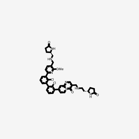 COc1nc(-c2cccc(-c3cccc(-c4ccn5c(=O)c(CNCC[C@@H]6CCC(=O)N6)cnc5c4)c3Cl)c2Cl)ccc1CNC[C@H]1CCC(=O)N1